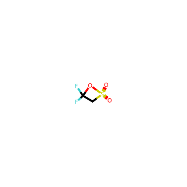 O=S1(=O)CC(F)(F)O1